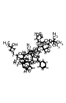 CCC1(O)CN(C[C@@H]2O[C@@H]3C4=C(C)[C@@H](OC(=O)[C@H](O[Si](CC)(CC)CC)[C@@H](NC(=O)OC(C)(C)C)C5(C)COC5)C[C@@](O)([C@@H](OC(=O)c5ccccc5)[C@H]5[C@@](C)(CC[C@H]6OC[C@]65OC(C)=O)[C@@H]3O2)C4(C)C)C1